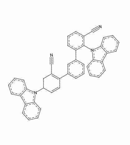 N#CC1=C(c2cccc(-c3cccc(C#N)c3-n3c4ccccc4c4ccccc43)c2)C=CC(n2c3ccccc3c3ccccc32)C1